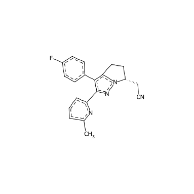 Cc1cccc(-c2nn3c(c2-c2ccc(F)cc2)CC[C@@H]3CC#N)n1